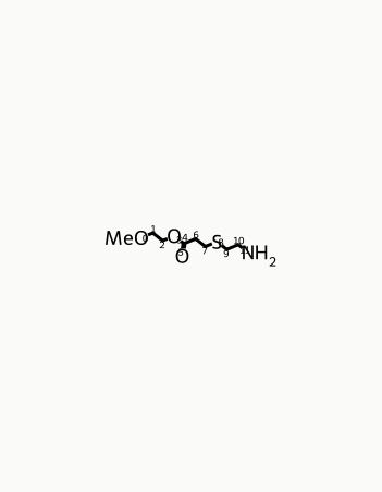 COCCOC(=O)CCSCCN